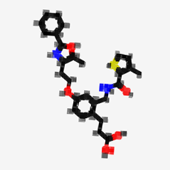 Cc1ccsc1C(=O)NCc1cc(OCCc2nc(-c3ccccc3)oc2C)ccc1CCC(=O)O